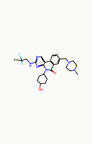 CCC(F)(F)CNc1ncc2c3ccc(CN4CCN(C)CC4)cc3c(=O)n(C3CCC(O)CC3)c2n1